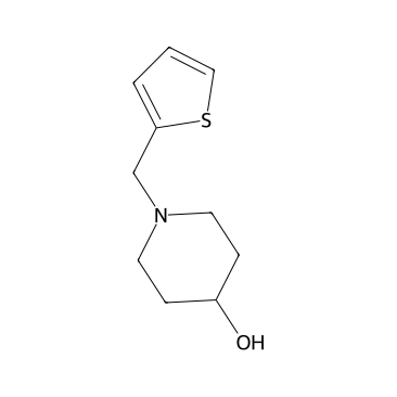 OC1CCN(Cc2cccs2)CC1